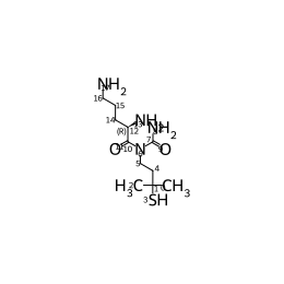 CC(C)(S)CCN(C(N)=O)C(=O)[C@H](N)CCCN